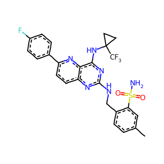 Cc1ccc(CNc2nc(NC3(C(F)(F)F)CC3)c3nc(-c4ccc(F)cc4)ccc3n2)c(S(N)(=O)=O)c1